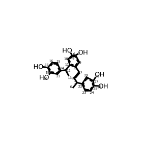 CC(/C=C/c1cc(O)c(O)cc1C(C)c1ccc(O)c(O)c1)c1ccc(O)c(O)c1